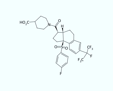 O=C(O)C1CCN(C(=O)[C@@H]2CC[C@@]3(S(=O)(=O)c4ccc(F)cc4)c4ccc(C(F)(C(F)(F)F)C(F)(F)F)cc4CC[C@@H]23)CC1